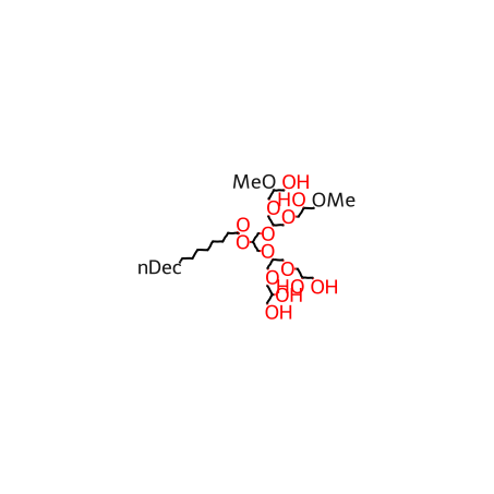 CCCCCCCCCCCCCCCCCC(=O)OC(COC(COCC(O)CO)COCC(O)CO)COC(COCC(O)COC)COCC(CO)OC